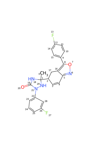 CC1(C2C=Cc3noc(-c4ccc(F)cc4)c3C2)NC(=O)N(c2cccc(F)c2)N1